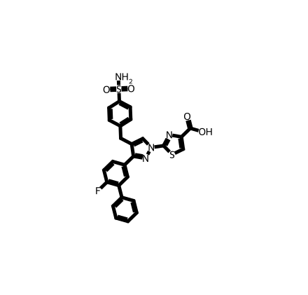 NS(=O)(=O)c1ccc(Cc2cn(-c3nc(C(=O)O)cs3)nc2-c2ccc(F)c(-c3ccccc3)c2)cc1